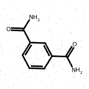 NC(=O)c1[c]ccc(C(N)=O)c1